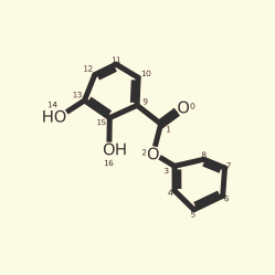 O=C(Oc1ccccc1)c1cccc(O)c1O